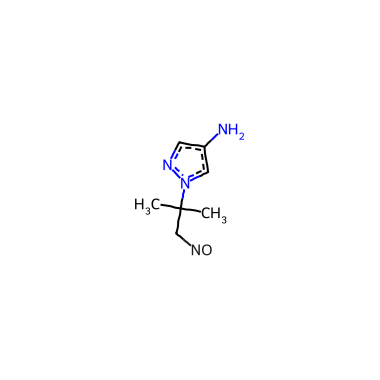 CC(C)(CN=O)n1cc(N)cn1